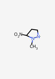 CN1[N]CCC1[N+](=O)[O-]